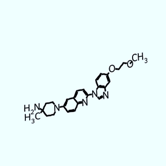 COCCOc1ccc2c(c1)ncn2-c1ccc2cc(N3CCC(C)(N)CC3)ccc2n1